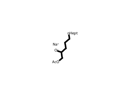 CCCCCCCCCCC([O-])COC(C)=O.[Na+]